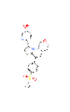 O=S(=O)(c1ccc(C(CC2CCOCC2)c2ccc(-c3ccc(O)cn3)[nH]2)cc1)C1CC1